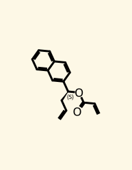 C=CC[C@H](OC(=O)C=C)c1ccc2ccccc2c1